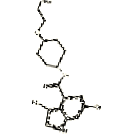 COCCO[C@H]1CC[C@H](NC(=O)c2cc(Br)cc3[nH]cc(C#N)c23)CC1